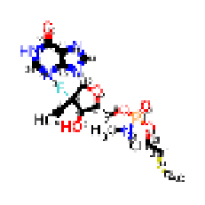 C#C[C@]1(F)C(O)[C@@H](COP(=O)(OCCSC(C)=O)N(C)C)O[C@H]1n1cnc2c(=O)[nH]cnc21